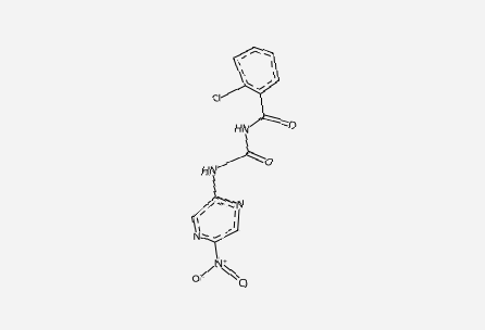 O=C(NC(=O)c1ccccc1Cl)Nc1cnc([N+](=O)[O-])cn1